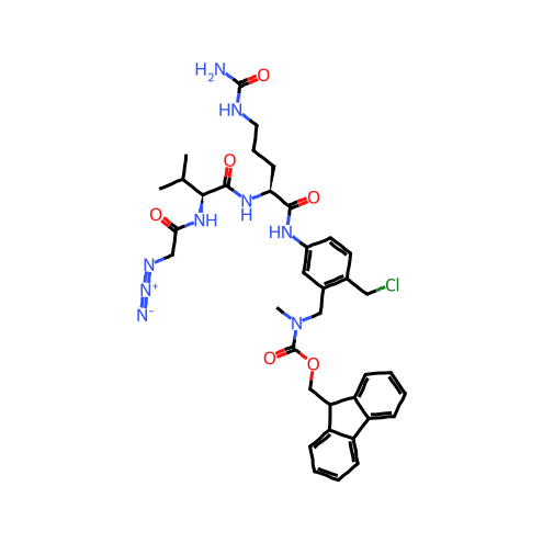 CC(C)[C@H](NC(=O)CN=[N+]=[N-])C(=O)N[C@@H](CCCNC(N)=O)C(=O)Nc1ccc(CCl)c(CN(C)C(=O)OCC2c3ccccc3-c3ccccc32)c1